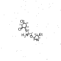 CCc1cncc(OC[C@@H](N)CSc2ccc(Cl)cc2Cl)c1